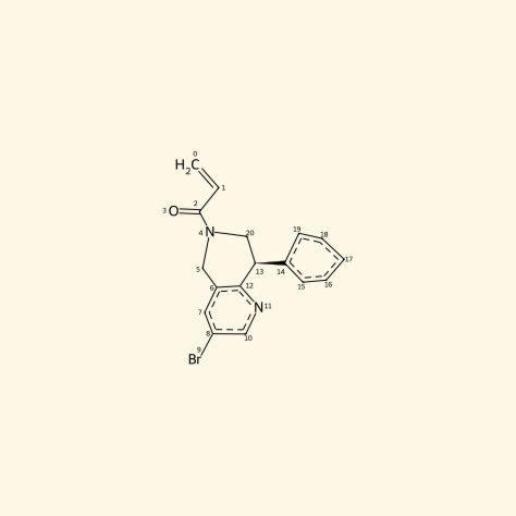 C=CC(=O)N1Cc2cc(Br)cnc2[C@H](c2ccccc2)C1